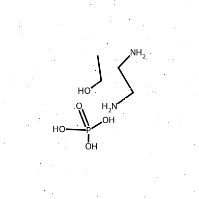 CCO.NCCN.O=P(O)(O)O